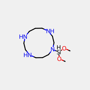 CO[SiH](OC)N1CCCNCCNCCCNCC1